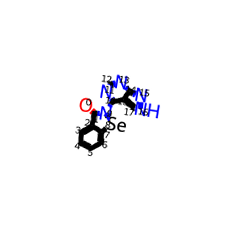 O=c1c2ccccc2[se]n1-c1ncnc2n[nH]cc12